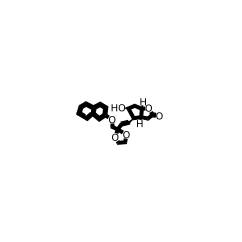 O=C1C[C@@H]2[C@@H](/C=C/C3(COc4ccc5ccccc5c4)OCCO3)[C@H](O)C[C@@H]2O1